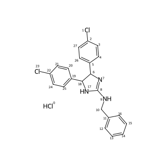 Cl.Clc1ccc(C2N=C(NCc3ccccc3)NC2c2ccc(Cl)cc2)cc1